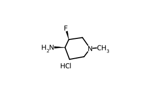 CN1CC[C@@H](N)[C@@H](F)C1.Cl